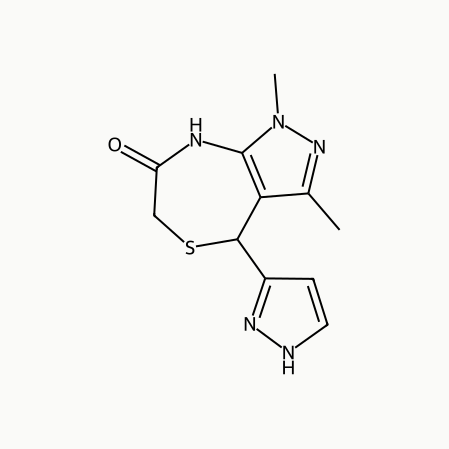 Cc1nn(C)c2c1C(c1cc[nH]n1)SCC(=O)N2